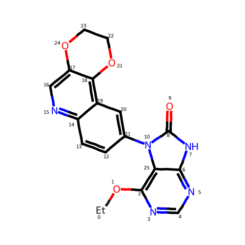 CCOc1ncnc2[nH]c(=O)n(-c3ccc4ncc5c(c4c3)OCCO5)c12